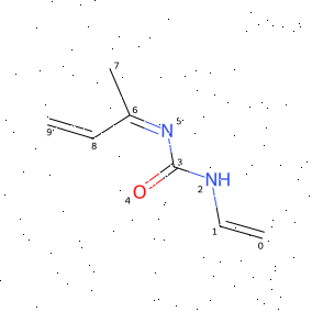 C=CNC(=O)N=C(C)C=C